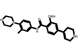 COc1cc(C2=CCNCC2)ccc1C(=O)Nc1ccc(N2CCNCC2)c(C)c1